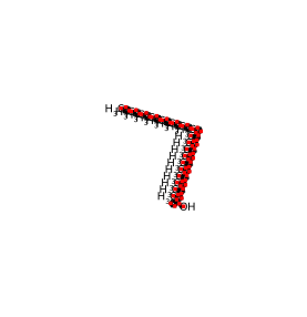 Cc1ccccc1.Cc1ccccc1.Cc1ccccc1.Cc1ccccc1.Cc1ccccc1.Cc1ccccc1.Cc1ccccc1.Cc1ccccc1.Cc1ccccc1.Cc1ccccc1.Cc1ccccc1.Cc1ccccc1.Cc1ccccc1.Cc1ccccc1.Cc1ccccc1.Cc1ccccc1.Cc1ccccc1.Cc1ccccc1.OCCc1ccccc1